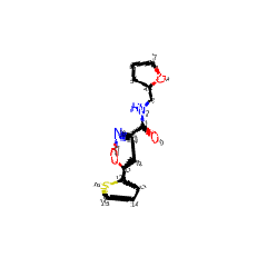 O=C(NCC1CCCO1)c1cc(-c2cccs2)on1